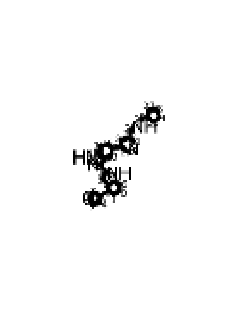 c1cc(-c2ccoc2)c2cc(-c3n[nH]c4ccc(-c5cncc(CNCC6CCCC6)c5)cc34)[nH]c2c1